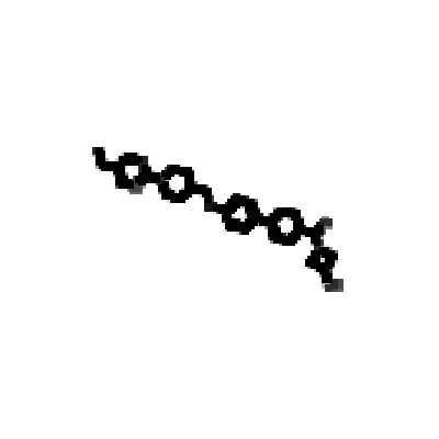 CCc1cnc(N2CCC(COc3ccc(C4=CCC(C(=O)N5CC(O)C5)CC4)cc3)CC2)nc1